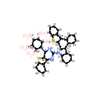 Bc1c(B)c(B)c(-c2nc(-n3c4ccccc4c4c5ccccc5c5c6ccccc6sc5c43)nc3c2sc2ccccc23)c(B)c1B